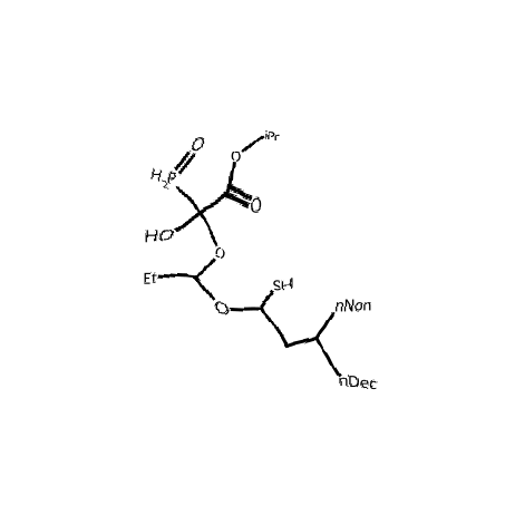 CCCCCCCCCCC(CCCCCCCCC)CC(S)OC(CC)OC(O)([PH2]=O)C(=O)OC(C)C